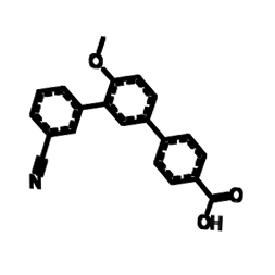 COc1ccc(-c2ccc(C(=O)O)cc2)cc1-c1cccc(C#N)c1